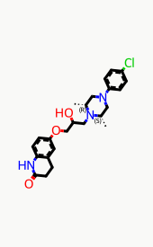 C[C@@H]1CN(c2ccc(Cl)cc2)C[C@H](C)N1CC(O)COc1ccc2c(c1)CCC(=O)N2